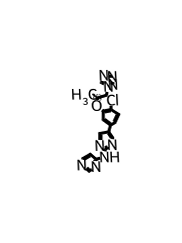 C[C@@H](Cn1cnnn1)Oc1cc(-c2cnc(Nc3ccncn3)nc2)ccc1Cl